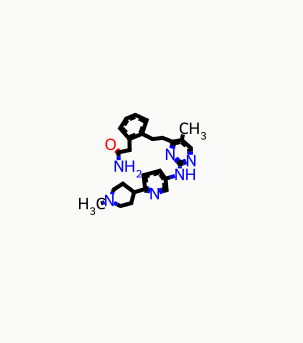 Cc1cnc(Nc2ccc(C3CCN(C)CC3)nc2)nc1CCc1ccccc1CC(N)=O